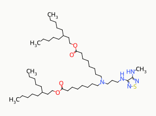 CCCCCC(CCCCC)CCOC(=O)CCCCCCCN(CCCCCCCC(=O)OCCC(CCCCC)CCCCC)CCCNc1nsnc1NC